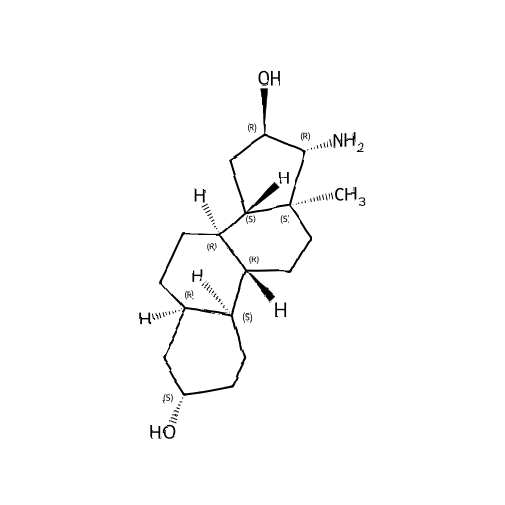 C[C@]12CC[C@H]3[C@@H](CC[C@@H]4C[C@@H](O)CC[C@@H]43)[C@@H]1C[C@@H](O)[C@@H]2N